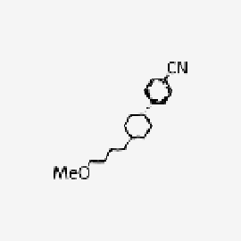 COC=CCC[C@H]1CC[C@H](c2ccc(C#N)cc2)CC1